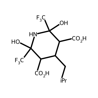 CC(C)CC1C(C(=O)O)C(O)(C(F)(F)F)NC(O)(C(F)(F)F)C1C(=O)O